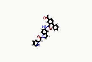 CC(=O)c1ccc(-c2ccccc2)c(C(=O)Nc2ccc3c(c2)CCN3C(=O)Cc2ccccn2)c1